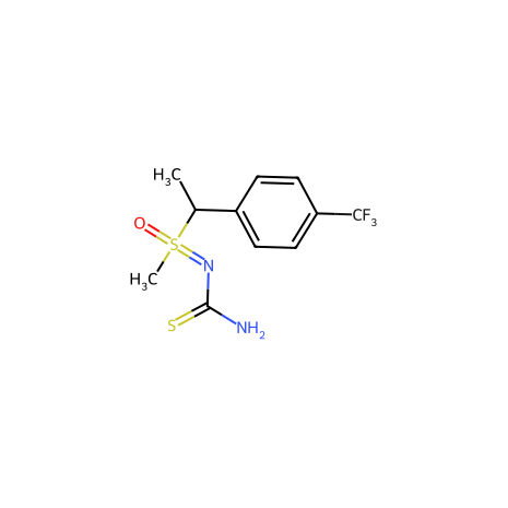 CC(c1ccc(C(F)(F)F)cc1)S(C)(=O)=NC(N)=S